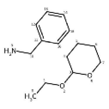 CCOC1CCCCO1.NCc1ccccc1